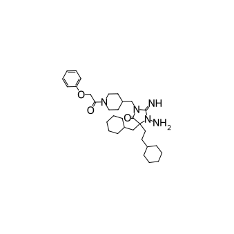 N=C1N(CC2CCN(C(=O)COc3ccccc3)CC2)C(=O)C(CCC2CCCCC2)(CC2CCCCC2)N1N